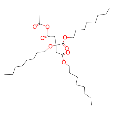 CCCCCCCCOC(=O)CC(CC(=O)OC(C)=O)(OCCCCCCCC)C(=O)OCCCCCCCC